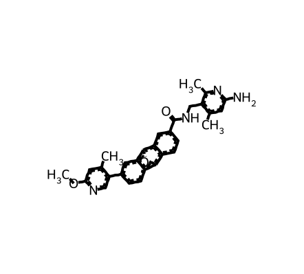 COc1cc(C)c(-c2ccc3c(c2)c2oc3c3ccc(C(=O)NCc4c(C)cc(N)nc4C)cc32)cn1